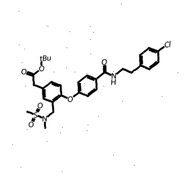 CN(Cc1cc(CC(=O)OC(C)(C)C)ccc1Oc1ccc(C(=O)NCCc2ccc(Cl)cc2)cc1)S(C)(=O)=O